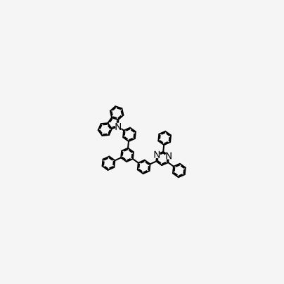 c1ccc(-c2cc(-c3cccc(-c4cc(-c5ccccc5)nc(-c5ccccc5)n4)c3)cc(-c3cccc(-n4c5ccccc5c5ccccc54)c3)c2)cc1